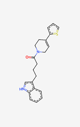 O=C(CCCc1c[nH]c2ccccc12)N1CC=C(c2cccs2)CC1